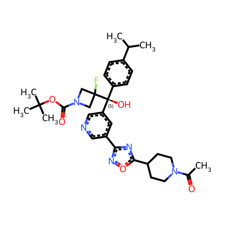 CC(=O)N1CCC(c2nc(-c3cncc([C@@](O)(c4ccc(C(C)C)cc4)C4(F)CN(C(=O)OC(C)(C)C)C4)c3)no2)CC1